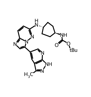 Cc1n[nH]c2ncc(-c3cnc4ccc(N[C@H]5CC[C@H](NC(=O)OC(C)(C)C)CC5)nn34)cc12